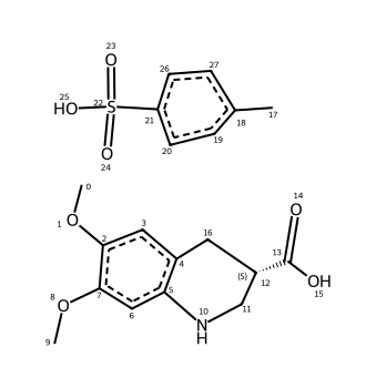 COc1cc2c(cc1OC)NC[C@@H](C(=O)O)C2.Cc1ccc(S(=O)(=O)O)cc1